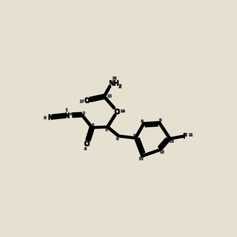 [N-]=[N+]=CC(=O)C(Cc1ccc(F)cc1)OC(N)=O